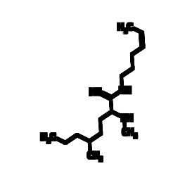 C/C=C\CCCNC(=N)C(CCC(C)CCC)NC